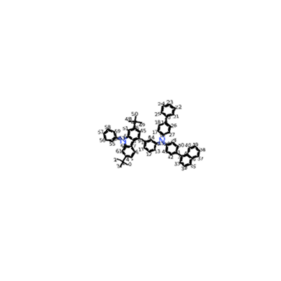 CC(C)(C)c1ccc2c3c(-c4cccc(N(c5ccc(-c6ccccc6)cc5)c5ccc(-c6cccc7ccccc67)cc5)c4)cc(C(C)(C)C)cc3n(-c3ccccc3)c2c1